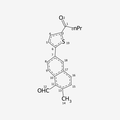 CCCC(=O)c1ccc(-c2ccc3c(C=O)c(C)ccc3c2)s1